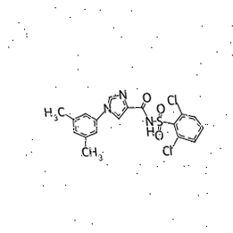 Cc1cc(C)cc(-n2cnc(C(=O)NS(=O)(=O)c3c(Cl)cccc3Cl)c2)c1